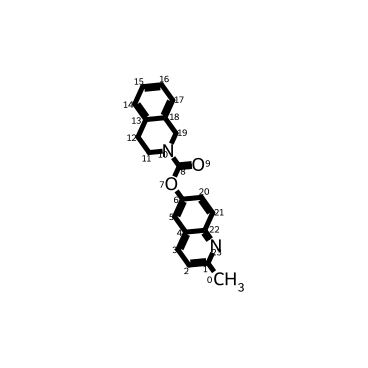 Cc1ccc2cc(OC(=O)N3CCc4ccccc4C3)ccc2n1